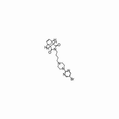 O=C1[C@@H]2[C@H](C(=O)N1CCCCN1CCN(c3ncc(Br)cn3)CC1)[C@@H]1C=C[C@H]2C1